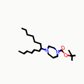 CCCCCCC(CCCCCC)N1CCCN(C(=O)OC(C)(C)C)CC1